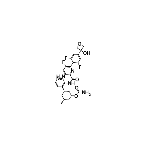 C[C@@H]1C[C@H](OC(N)=O)C[C@H](c2ccncc2NC(=O)c2nc(-c3c(F)cc(C4(O)COC4)cc3F)c(F)cc2N)C1